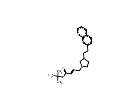 CC(C)(C)OC(=O)C=CCN1CCC(CCc2ccc3cccnc3n2)C1